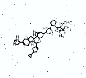 CC(C)(F)C(NC=O)[C@H](O)N1CCC[C@H]1C1NC[C@H]([C@@H]2C=C(F)[C@H]3C(C2)OC(C2=CCC(C4CC4)S2)N2C3C[C@@H]3CC(C4CN=CN4)=CC[C@@H]32)N1